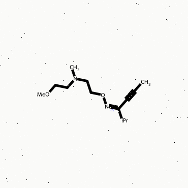 CC#C/C(=N\OCCN(C)CCOC)C(C)C